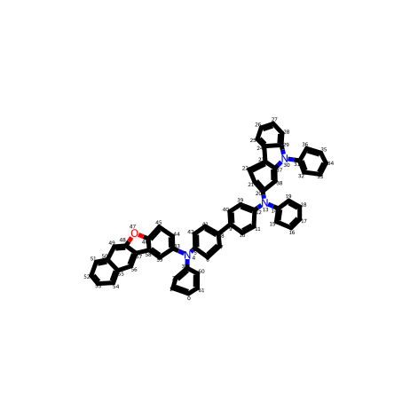 c1ccc(N(c2ccc(-c3ccc(N(c4ccccc4)c4ccc5c6ccccc6n(-c6ccccc6)c5c4)cc3)cc2)c2ccc3oc4cc5ccccc5cc4c3c2)cc1